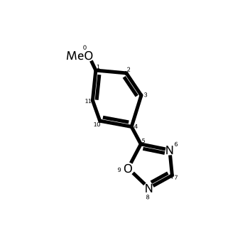 COc1ccc(-c2n[c]no2)cc1